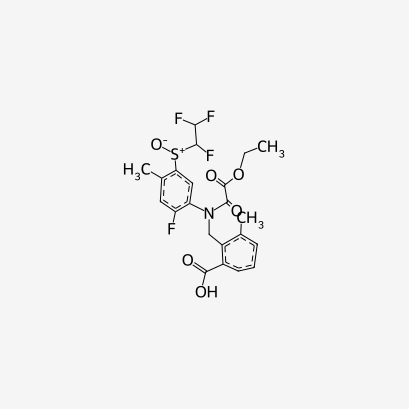 CCOC(=O)C(=O)N(Cc1c(C)cccc1C(=O)O)c1cc([S+]([O-])C(F)C(F)F)c(C)cc1F